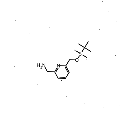 CC(C)(C)[Si](C)(C)OCc1cccc(CN)n1